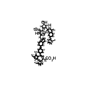 Cc1ncsc1-c1ccc(C(C)NC(=O)[C@@H]2C[C@@H](O)CN2C(=O)C(NC(=O)Cn2ncc3cc(-c4ccc(C5=N[C@@H](CC(=O)O)c6nnc(C)n6-c6sc(C)c(C)c65)cc4)ccc32)C(C)(C)C)cc1